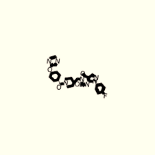 O=c1c2cnn(-c3ccc(F)cc3)c2ncn1CC1(O)CCN(C(=O)[C@H]2CC[C@H](Oc3cnccn3)CC2)CC1